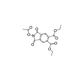 CCOC(=O)c1cc2c(cc1C(=O)OCC)C(=O)N(OC(C)=O)C2=O